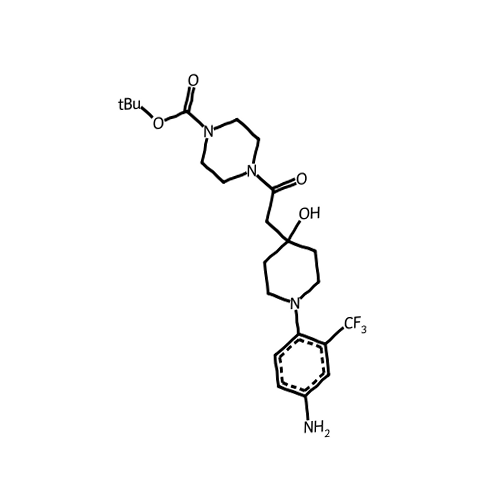 CC(C)(C)OC(=O)N1CCN(C(=O)CC2(O)CCN(c3ccc(N)cc3C(F)(F)F)CC2)CC1